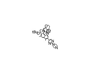 Cc1cc2c(C)c(-c3cnc(N4CCN(C)CC4)nc3)ccc2c(-c2ccc3c4c(ccnc24)CCO3)c1C(OC(C)(C)C)C(=O)O